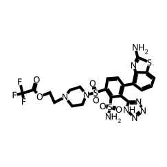 Nc1nc2c(-c3ccc(S(=O)(=O)N4CCN(CCOC(=O)C(F)(F)F)CC4)c(S(N)(=O)=O)c3-c3nnn[nH]3)cccc2s1